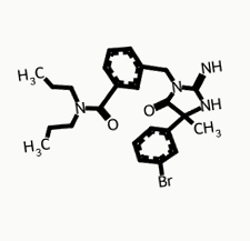 CCCN(CCC)C(=O)c1cccc(CN2C(=N)NC(C)(c3cccc(Br)c3)C2=O)c1